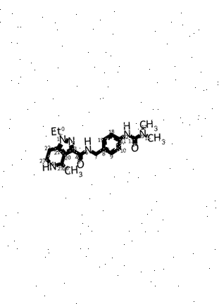 CCn1nc(C(=O)NCc2ccc(NC(=O)N(C)C)cc2)c2c1CCNC2C